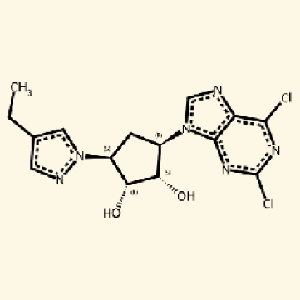 CCc1cnn([C@H]2C[C@@H](n3cnc4c(Cl)nc(Cl)nc43)[C@H](O)[C@@H]2O)c1